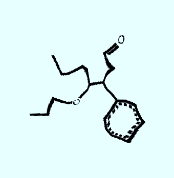 CCCOC(CCC)C(CC=O)c1ccccc1